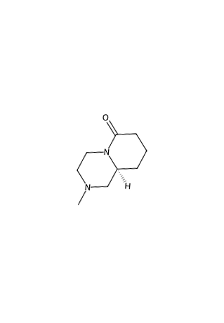 CN1CCN2C(=O)CCC[C@H]2C1